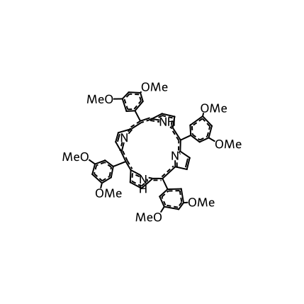 COc1cc(OC)cc(-c2c3nc(c(-c4cc(OC)cc(OC)c4)c4ccc([nH]4)c(-c4cc(OC)cc(OC)c4)c4nc(c(-c5cc(OC)cc(OC)c5)c5ccc2[nH]5)C=C4)C=C3)c1